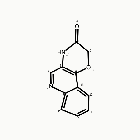 O=C1COc2c(cnc3ccccc23)N1